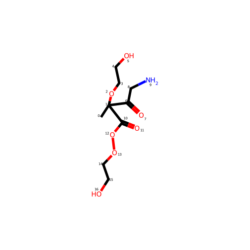 CC(OCCO)(C(=O)CN)C(=O)OOCCO